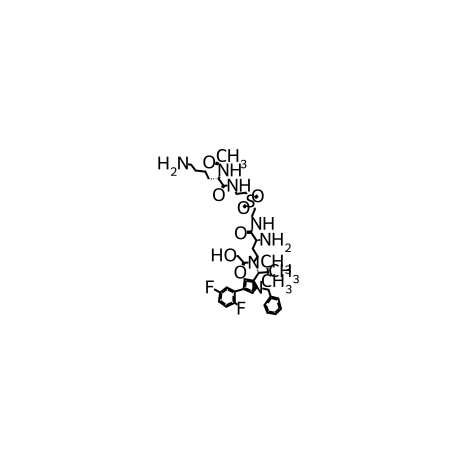 CC(=O)N[C@@H](CCCCN)C(=O)NCCS(=O)(=O)CCNC(=O)[C@@H](N)CCN(C(=O)CO)[C@@H](c1cc(-c2cc(F)ccc2F)cn1Cc1ccccc1)C(C)(C)C